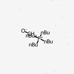 CCCC[P+](CCCC)(CCCC)CCCC.C[O-]